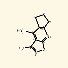 Cc1noc2nc3c(c(C(=O)O)c12)CCC3